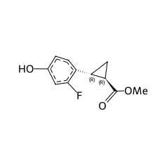 COC(=O)[C@@H]1C[C@H]1c1ccc(O)cc1F